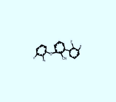 N#Cc1c(Oc2cccc(F)c2Br)cccc1-c1cccc(F)c1F